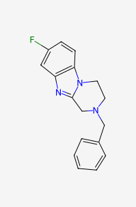 Fc1ccc2c(c1)nc1n2CCN(Cc2ccccc2)C1